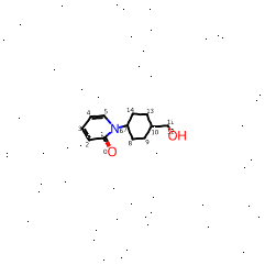 O=c1ccccn1C1CCC(CO)CC1